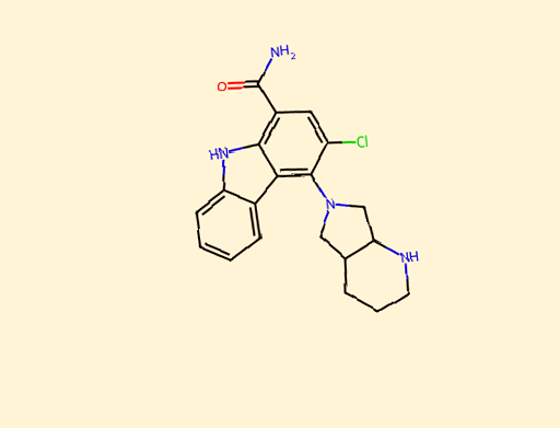 NC(=O)c1cc(Cl)c(N2CC3CCCNC3C2)c2c1[nH]c1ccccc12